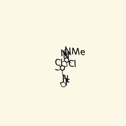 C=C/C=N\N(C(=C)NC)c1cc(Cl)c(Cc2ccc(C=C)c(CCN(C)CC3=CCCCC3F)c2)c(Cl)c1